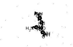 Cc1cc(S(=O)(=O)NC2CC2)ccc1-c1ccc(C[C@H](NC(=O)C2CCC(CN)CC2)C(=O)Nc2ccc3c(=O)[nH][nH]c3c2)cc1.Cl